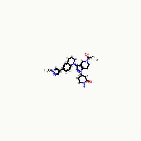 CC(=O)N1CCc2c(c(N3CCCc4cc(-c5cnn(C)c5)ccc43)nn2C2CCNC(=O)C2)C1